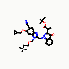 C=C(C(=O)OC(C)(C)C)c1nn(Cc2nc3cc(C#N)c(OCC4CC4)cc3n2COCC[Si](C)(C)C)c2ccccc2c1=O